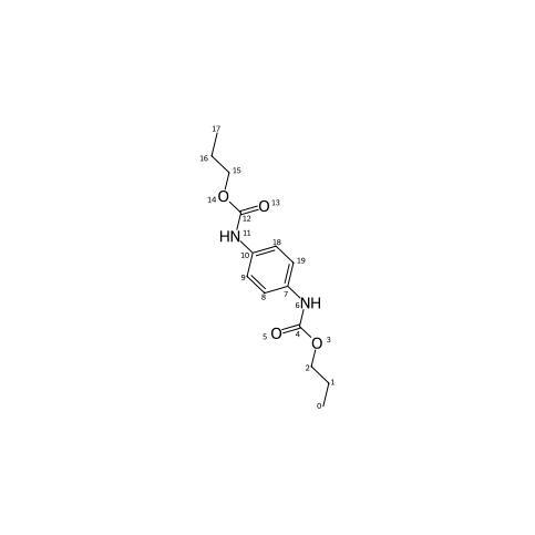 CCCOC(=O)Nc1ccc(NC(=O)OCCC)cc1